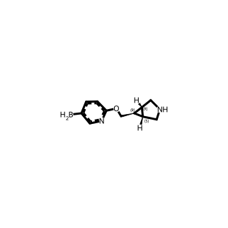 Bc1ccc(OC[C@H]2[C@@H]3CNC[C@@H]32)nc1